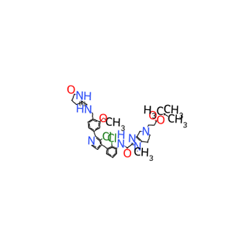 COc1cc(-c2nccc(-c3cccc(NC(=O)c4nc5c(n4C)CCN(CCC(=O)OC(C)(C)C)C5)c3Cl)c2Cl)ccc1CNC[C@H]1CCC(=O)N1